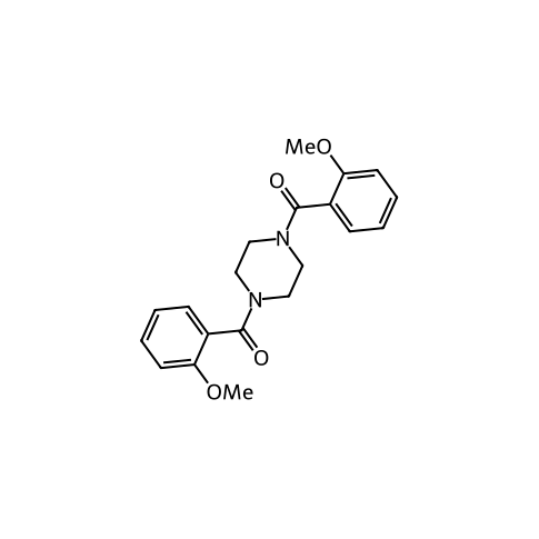 COc1ccccc1C(=O)N1CCN(C(=O)c2ccccc2OC)CC1